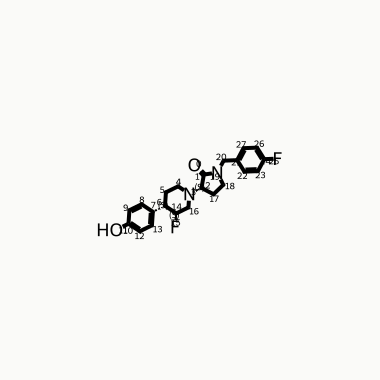 O=C1[C@@H](N2CC[C@@H](c3ccc(O)cc3)[C@H](F)C2)CCN1Cc1ccc(F)cc1